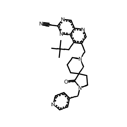 CC(C)(C)Cc1c(CN2CCCC3(CCN(Cc4ccncc4)C3=O)C2)cnc2cnc(C#N)nc12